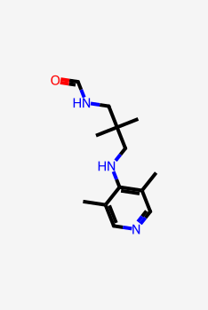 Cc1cncc(C)c1NCC(C)(C)CNC=O